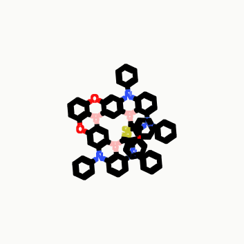 c1ccc(N2c3cc4c(cc3B3c5sc6ccccc6c5N(c5ccccc5)c5cccc2c53)B2c3cc5c(cc3Oc3cccc(c32)O4)N(c2ccccc2)c2cccc3c2B5c2sc4ccccc4c2N3c2ccccc2)cc1